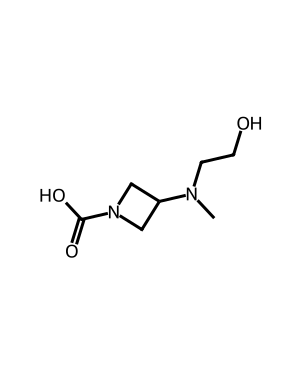 CN(CCO)C1CN(C(=O)O)C1